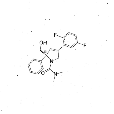 CN(C)C(=O)N1CC(c2cc(F)ccc2F)=C[C@@]1(CO)c1ccccc1